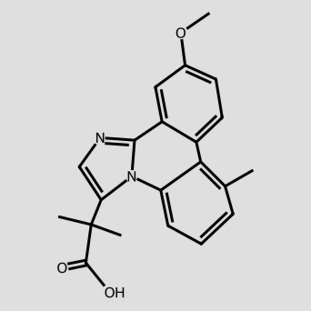 COc1ccc2c(c1)c1ncc(C(C)(C)C(=O)O)n1c1cccc(C)c21